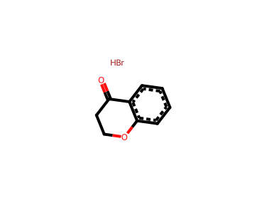 Br.O=C1CCOc2ccccc21